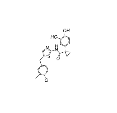 Cc1cc(Cc2cnc(NC(=O)C3(c4ccc(O)c(O)c4)CC3)s2)ccc1Cl